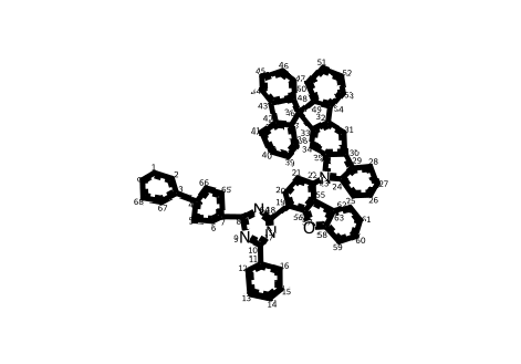 c1ccc(-c2ccc(-c3nc(-c4ccccc4)nc(-c4ccc(-n5c6ccccc6c6cc7c(cc65)C5(c6ccccc6-c6ccccc65)c5ccccc5-7)c5c4oc4ccccc45)n3)cc2)cc1